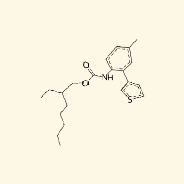 CCCCCC(CC)COC(=O)Nc1ccc(C)cc1-c1ccsc1